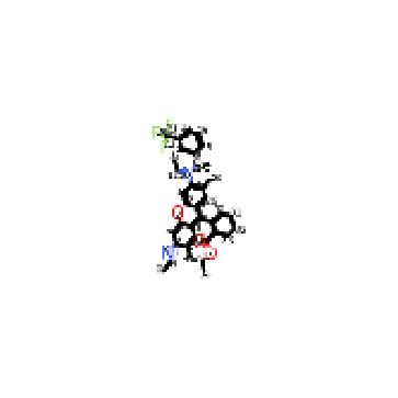 CC/N=c1/cc2oc3cc(N(CC)[Se]c4cccc(C(F)(F)F)c4)c(C)cc3c(-c3ccccc3C(=O)OCC)c-2cc1C